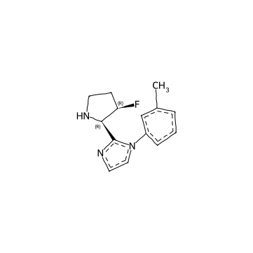 Cc1cccc(-n2ccnc2[C@H]2NCC[C@H]2F)c1